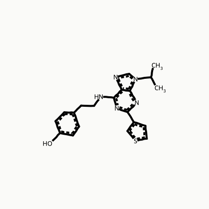 CC(C)n1cnc2c(NCCc3ccc(O)cc3)nc(-c3ccsc3)nc21